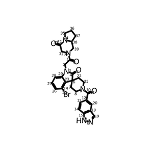 O=C(CN1C(=O)C2(CCN(C(=O)c3ccc4[nH]ncc4c3)CC2)c2c(Br)cccc21)N1CC(=O)N2CCCC2C1